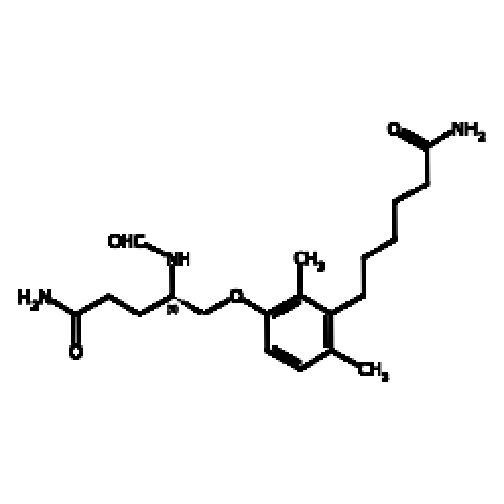 Cc1ccc(OC[C@H](CCC(N)=O)NC=O)c(C)c1CCCCCC(N)=O